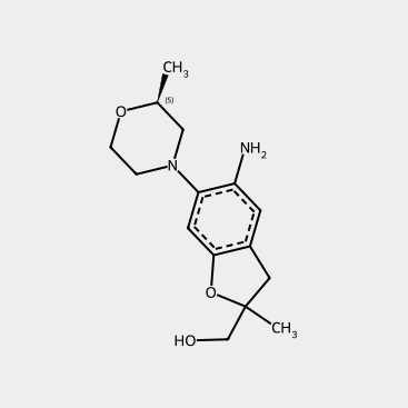 C[C@H]1CN(c2cc3c(cc2N)CC(C)(CO)O3)CCO1